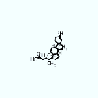 [2H]C1=CC2CC[C@H]3[C@@H]4CC[C@H]([C@H](C)CCC(=O)O)[C@@]4(C)CC[C@@H]3[C@@]2(C)CC1